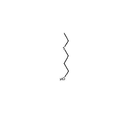 CCSCCCO